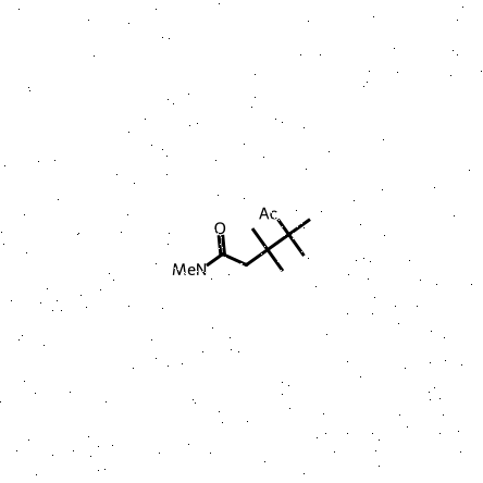 CNC(=O)CC(C)(C)C(C)(C)C(C)=O